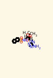 CC1(C)O[C@@H]2[C@H](O1)[C@@H](CNS(=O)(=O)c1ccc3ccccc3c1)O[C@H]2n1cnc2c(N)ncnc21